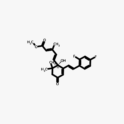 COC(=O)C=C(C)C=C[C@@]1(O)C(C=Cc2ccc(F)cc2F)=CC(=O)CC1(C)C